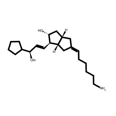 NCCCCCC=C1C[C@H]2C[C@@H](O)[C@H](C=C[C@@H](O)C3CCCC3)[C@H]2C1